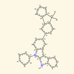 Cn1c2ccccc2c2c3cc(-c4ccc5c(c4)-c4ccccc4C5(C)C)ccc3n(-c3ccccc3)c21